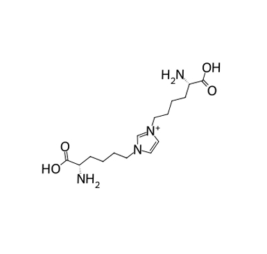 N[C@@H](CCCCn1cc[n+](CCCC[C@H](N)C(=O)O)c1)C(=O)O